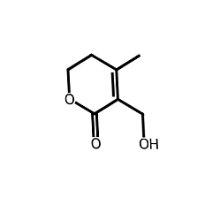 CC1=C(CO)C(=O)OCC1